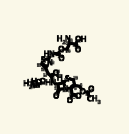 CC(=O)OCC1=C(C(=O)[O-])N2C(=O)[C@@H](NC(=O)Cc3csc(NC(=O)OC[C@@H](N)C(=O)O)n3)[C@@H]2SC1.O.O.O.[Na+]